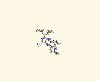 COCC(COC)n1nc(C)c2nc(-c3ccc(C(C)C)nc3OC)c(C)nc21